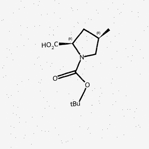 C[C@@H]1C[C@H](C(=O)O)N(C(=O)OC(C)(C)C)C1